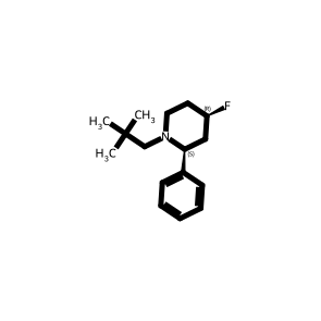 CC(C)(C)CN1CC[C@@H](F)C[C@H]1c1ccccc1